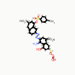 Cc1ccc(S(=O)(=O)Oc2cc(S(=O)(=O)O)cc3ccc(N=Nc4cc(S(=O)(=O)O)c5cc(SOOO)cc(O)c5c4N)cc23)cc1